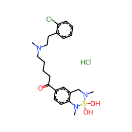 CN(CCCCC(=O)c1ccc2c(c1)CN(C)S(O)(O)N2C)CCc1ccccc1Cl.Cl